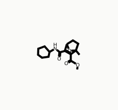 COC(=O)C1=C(C(=O)NC2CCCCC2)C2CCC1(C)O2